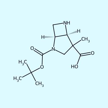 CC(C)(C)OC(=O)N1CC(C)(C(=O)O)[C@@H]2NC[C@@H]21